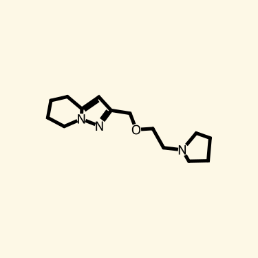 c1c(COCCN2CCCC2)nn2c1CCCC2